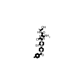 CC[C@H]1CN(c2nc(N)c(C(=O)N[C@@H](C)CO)nc2Cl)CCN1C1CCN(C(=O)c2ccc(C)cc2)CC1